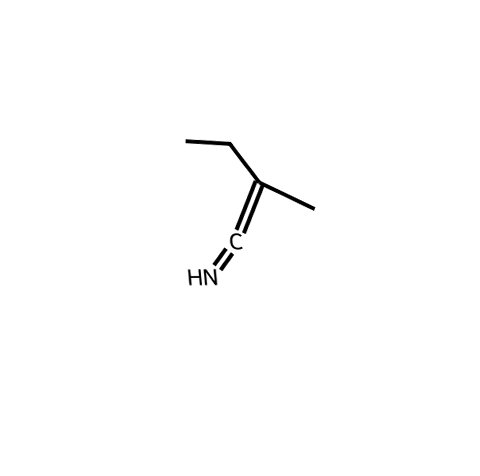 CCC(C)=C=N